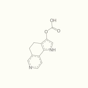 O=C(O)Oc1c[nH]c2c1CCc1cnccc1-2